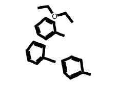 CCOCC.Cc1ccccc1.Cc1ccccc1.Cc1ccccc1